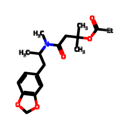 CCC(=O)OC(C)(C)CC(=O)N(C)C(C)Cc1ccc2c(c1)OCO2